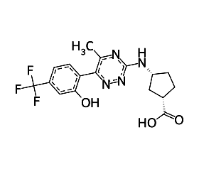 Cc1nc(N[C@@H]2CC[C@H](C(=O)O)C2)nnc1-c1ccc(C(F)(F)F)cc1O